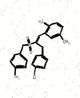 Cc1ccc(CS(=O)(=O)C(=Cc2cc(C)ccc2C)Cc2ccc(Cl)cc2)cc1